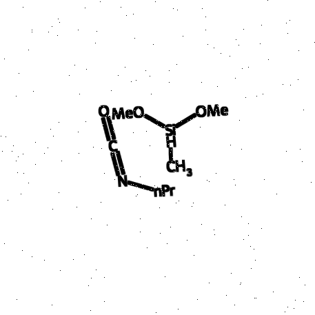 CCCN=C=O.CO[SiH](C)OC